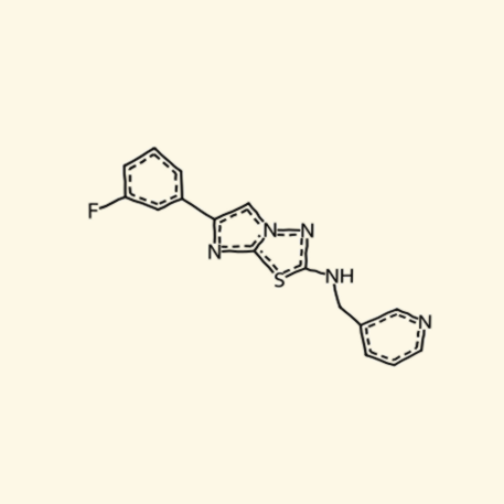 Fc1cccc(-c2cn3nc(NCc4cccnc4)sc3n2)c1